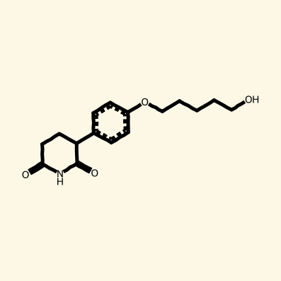 O=C1CCC(c2ccc(OCCCCCO)cc2)C(=O)N1